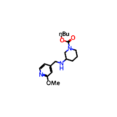 CCCCOC(=O)N1CCCC(NCc2ccnc(OC)c2)C1